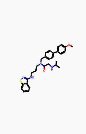 COc1ccc(-c2ccc(CN(CCCNc3nsc4ccccc34)C(=O)CNC(C)C)cc2)cc1